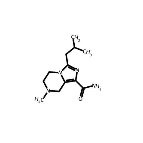 CC(C)Cc1nc(C(N)=O)c2n1CCN(C)C2